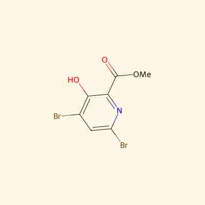 COC(=O)c1nc(Br)cc(Br)c1O